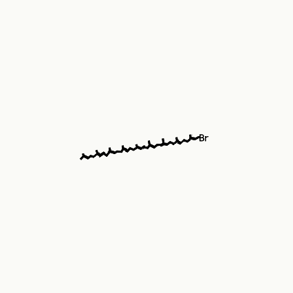 CC(C)=CCC/C(C)=C/CC/C(C)=C/CC/C(C)=C/CC/C(C)=C/CC/C(C)=C/CC/C(C)=C/CC/C(C)=C/CC/C(C)=C/CBr